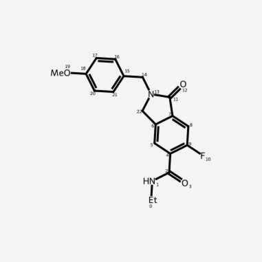 CCNC(=O)c1cc2c(cc1F)C(=O)N(Cc1ccc(OC)cc1)C2